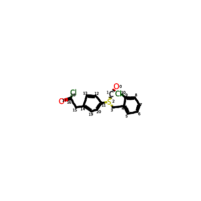 O=C=S(Cc1ccccc1Cl)c1ccc(CC(=O)Cl)cc1